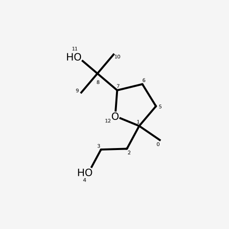 CC1(CCO)CCC(C(C)(C)O)O1